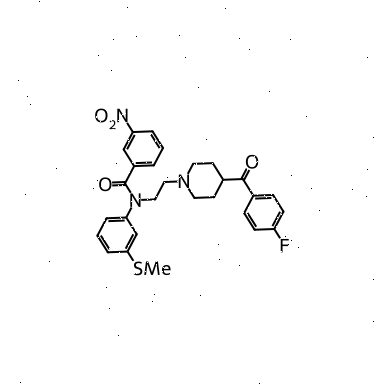 CSc1cccc(N(CCN2CCC(C(=O)c3ccc(F)cc3)CC2)C(=O)c2cccc([N+](=O)[O-])c2)c1